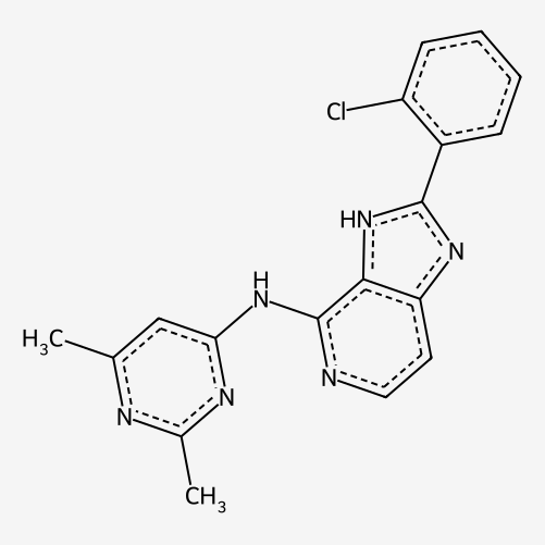 Cc1cc(Nc2nccc3nc(-c4ccccc4Cl)[nH]c23)nc(C)n1